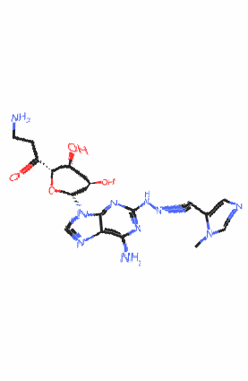 Cn1cncc1/C=N/Nc1nc(N)c2ncn([C@@H]3O[C@H](C(=O)CCN)[C@@H](O)[C@H]3O)c2n1